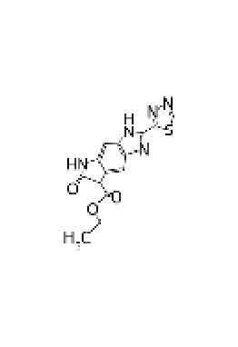 CCOC(=O)C1C(=O)Nc2cc3[nH]c(-c4nncs4)nc3cc21